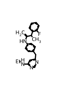 C=C(Nc1ccc(Cc2cc(NCC)ncn2)cc1)C(C)c1ccccc1F